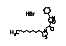 Br.CCCCCCCCC1=CSCN1CC(=O)c1cc(-c2ccccc2)no1